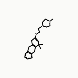 CN1CCN(CCOC2=CC(C)(C)C3=C(C2)Cc2ccccc2C3)CC1